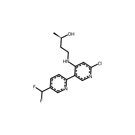 C[C@@H](O)CCNc1cc(Cl)ncc1-c1ccc(C(F)F)cn1